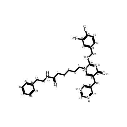 O=C(CCCCCn1cc(Cc2cncnc2)c(=O)nc1SCc1ccc(F)c(F)c1)NCCc1ccccc1